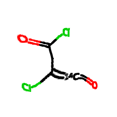 O=[14C]=C(Cl)C(=O)Cl